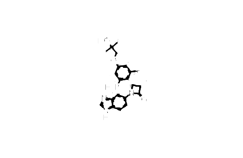 C[C@@H]1C(=O)N(c2ccc3[nH]cnc3c2)[C@@H]1c1c(F)cc(OCC(C)(C)O)cc1P